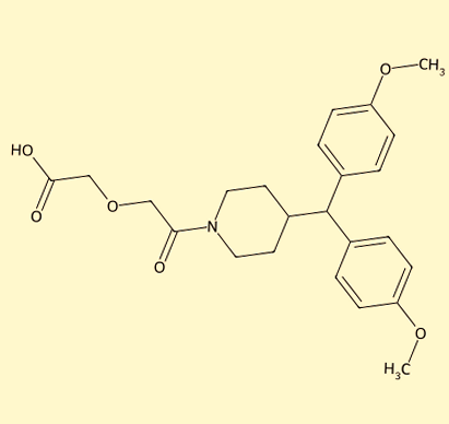 COc1ccc(C(c2ccc(OC)cc2)C2CCN(C(=O)COCC(=O)O)CC2)cc1